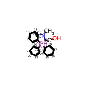 CN(C)C(CO)[PH](c1ccccc1)(c1ccccc1)c1ccccc1